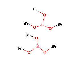 CC(C)OB(OC(C)C)OC(C)C.CC(C)OB(OC(C)C)OC(C)C